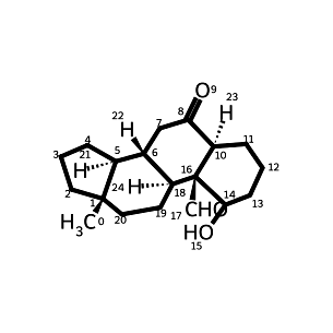 C[C@@]12CCC[C@H]1[C@@H]1CC(=O)[C@H]3CCCC(O)[C@]3(C=O)[C@H]1CC2